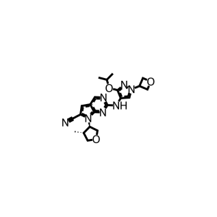 CC(C)Oc1nn(C2COC2)cc1Nc1ncc2cc(C#N)n([C@H]3COC[C@@H]3C)c2n1